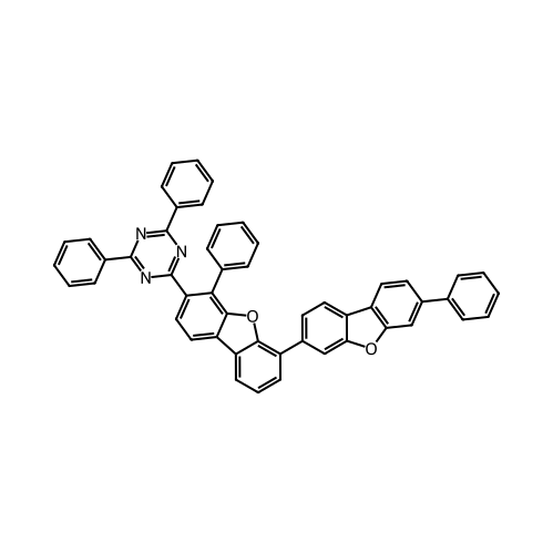 c1ccc(-c2ccc3c(c2)oc2cc(-c4cccc5c4oc4c(-c6ccccc6)c(-c6nc(-c7ccccc7)nc(-c7ccccc7)n6)ccc45)ccc23)cc1